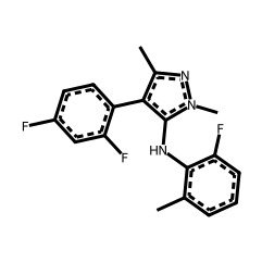 Cc1cccc(F)c1Nc1c(-c2ccc(F)cc2F)c(C)nn1C